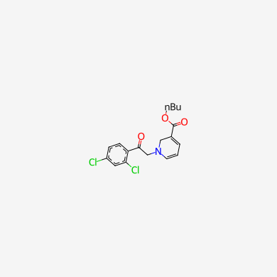 CCCCOC(=O)C1=CC=CN(CC(=O)c2ccc(Cl)cc2Cl)C1